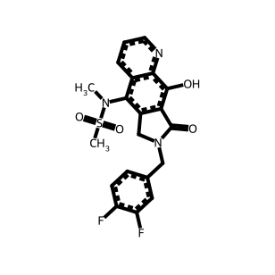 CN(c1c2c(c(O)c3ncccc13)C(=O)N(Cc1ccc(F)c(F)c1)C2)S(C)(=O)=O